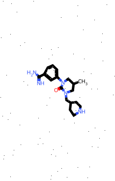 CC1CN(CC2CCNCC2)C(=O)N(c2cccc(C(=N)N)c2)C1